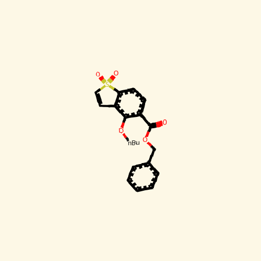 CCCCOc1c(C(=O)OCc2ccccc2)ccc2c1C=CS2(=O)=O